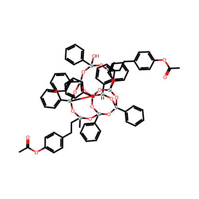 CC(=O)Oc1ccc(CC[Si]2(C)O[Si](O)(c3ccccc3)O[Si]3(c4ccccc4)O[Si]4(c5ccccc5)O[SiH](c5ccccc5)O[Si]5(c6ccccc6)O[Si](c6ccccc6)(O2)O[Si](c2ccccc2)(O[Si](c2ccccc2)(O[Si](C)(CCc2ccc(OC(C)=O)cc2)O4)O5)O3)cc1